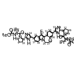 COC(=O)NC(C(=O)N1CCC[C@H]1c1ncc(-c2ccc3c(c2)c(F)c2n3CCOc3cc(-c4cnc([C@@H]5CCCN5C(=O)[C@@H](NC(=O)OC)C(C)C)[nH]4)ccc3-2)[nH]1)C(C)C